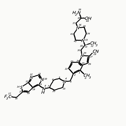 Cc1c(CN2CCC(Nc3ncnc4sc(CC(F)(F)F)cc34)CC2)ccc2c1cc(C#N)n2C[C@H](C)N1CCN(CC(N)O)CC1